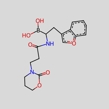 O=C(CCN1CCCOC1=O)NC(Cc1coc2ccccc12)B(O)O